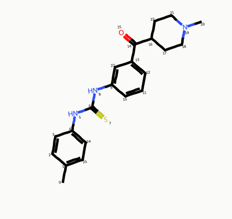 Cc1ccc(NC(=S)Nc2cccc(C(=O)C3CCN(C)CC3)c2)cc1